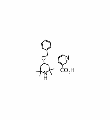 CC1(C)CC(OCc2ccccc2)CC(C)(C)N1.O=C(O)c1cccnc1